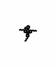 CCCCc1ccc(N2c3ccc(CCCC)cc3B3c4ccccc4C(C)(C)c4c(CCCC)ccc2c43)cc1